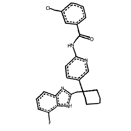 O=C(Nc1ccc(C2(c3nc4cccc(F)c4[nH]3)CCC2)cn1)c1cccc(Cl)c1